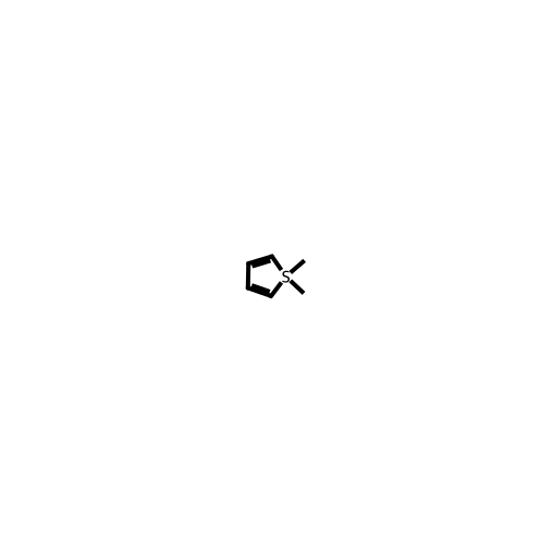 CS1(C)C=CC=C1